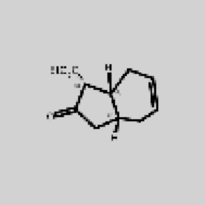 CCOC(=O)[C@H]1C(=O)C[C@H]2CC=CC[C@H]21